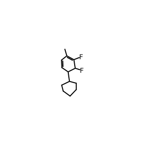 CC1=C(F)C(F)C(C2CCCCC2)C=C1